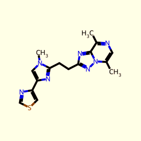 Cc1ncc(C)n2nc(CCc3nc(-c4cscn4)cn3C)nc12